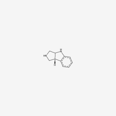 c1ccc2c(c1)NC1CNC[C@@H]21